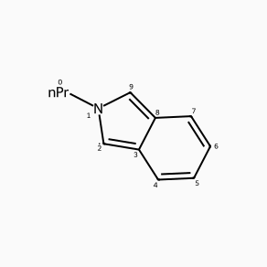 CCCn1[c]c2ccccc2c1